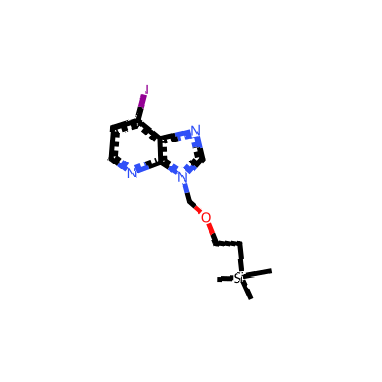 C[Si](C)(C)CCOCn1cnc2c(I)ccnc21